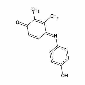 CC1=C(C)C(=Nc2ccc(O)cc2)C=CC1=O